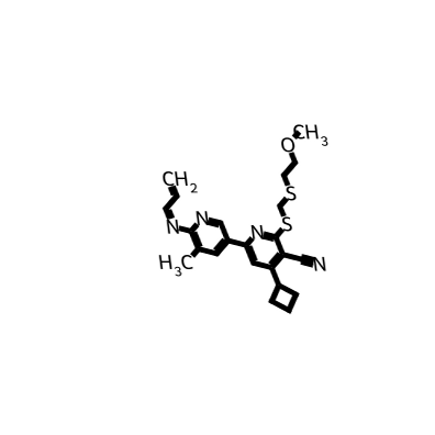 C=C/C=N\c1ncc(-c2cc(C3CCC3)c(C#N)c(SCSCCOC)n2)cc1C